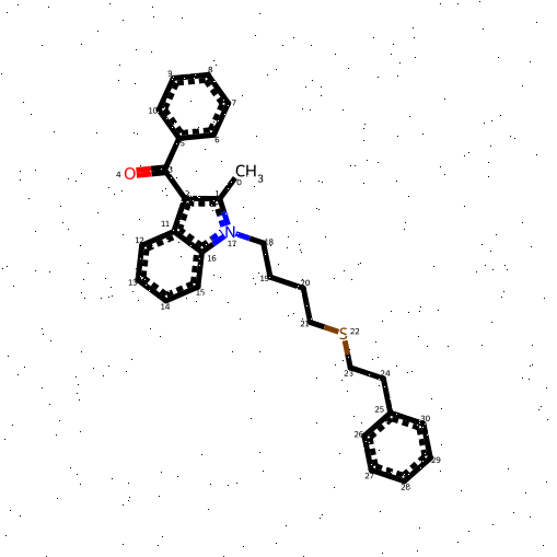 Cc1c(C(=O)c2ccccc2)c2ccccc2n1CCCCSCCc1ccccc1